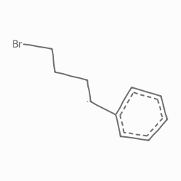 BrCCC[CH]c1ccccc1